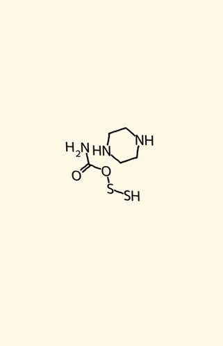 C1CNCCN1.NC(=O)OSS